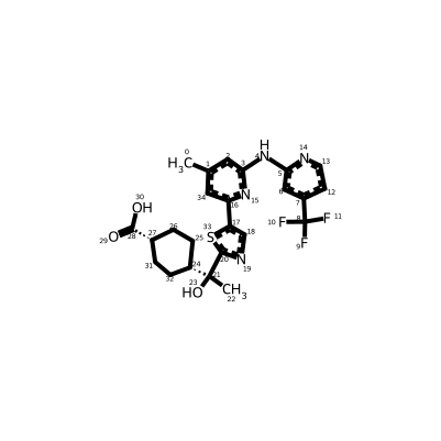 Cc1cc(Nc2cc(C(F)(F)F)ccn2)nc(-c2cnc(C(C)(O)[C@H]3CC[C@@H](C(=O)O)CC3)s2)c1